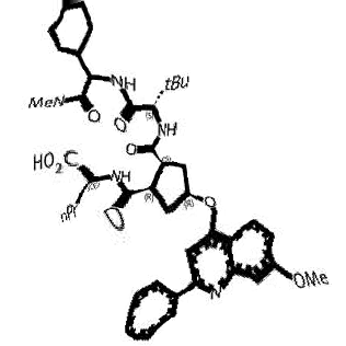 CCC[C@H](NC(=O)[C@@H]1C[C@H](Oc2cc(-c3ccccc3)nc3cc(OC)ccc23)C[C@@H]1C(=O)N[C@H](C(=O)NC(C(=O)NC)C1CCCCC1)C(C)(C)C)C(=O)O